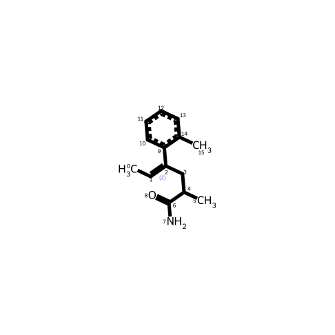 C/C=C(/CC(C)C(N)=O)c1ccccc1C